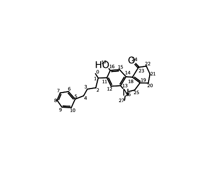 CC(CCCc1ccccc1)c1cc2c(cc1O)C1=C(CCCC1=O)CN2C